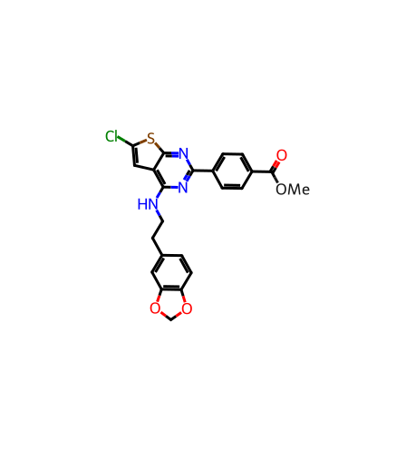 COC(=O)c1ccc(-c2nc(NCCc3ccc4c(c3)OCO4)c3cc(Cl)sc3n2)cc1